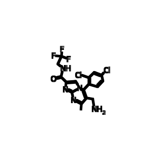 Cc1nc2nc(C(=O)NCC(F)(F)F)cn2c(-c2ccc(Cl)cc2Cl)c1CN